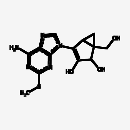 CSc1nc(N)c2ncn(C3=C(O)C(O)C4(CO)CC34)c2n1